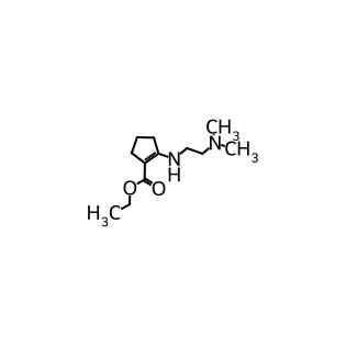 CCOC(=O)C1=C(NCCN(C)C)CCC1